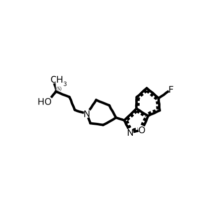 C[C@H](O)CCN1CCC(c2noc3cc(F)ccc23)CC1